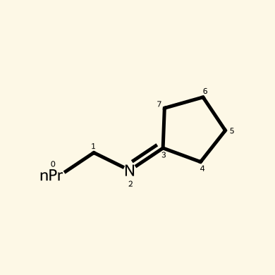 CCCCN=C1CCCC1